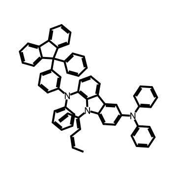 C=C/C(=C\C=C/C)n1c2ccc(N(c3ccccc3)c3ccccc3)cc2c2cccc(N(c3ccccc3)c3cccc(C4(c5ccccc5)c5ccccc5-c5ccccc54)c3)c21